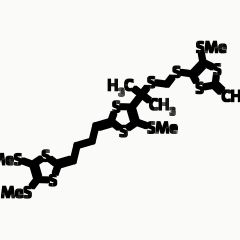 C=C1SC(SC)=C(SCSC(C)(C)C2=C(SC)S/C(=C\CCC=C3SC(SC)=C(SC)S3)S2)S1